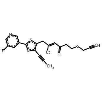 C#CCSCCC(=O)/C=C(\CC)Cc1sc(-c2cncc(F)c2)nc1C#CC